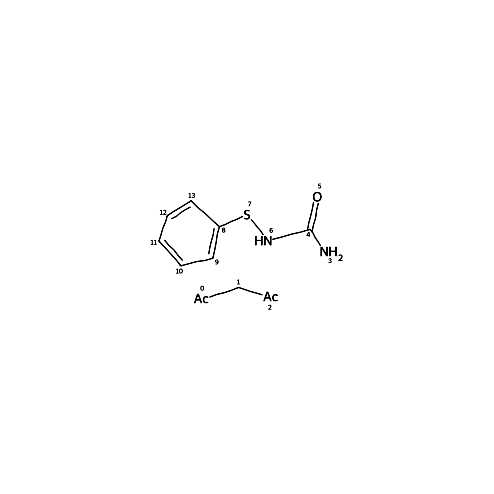 CC(=O)CC(C)=O.NC(=O)NSc1ccccc1